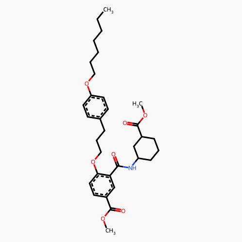 CCCCCCCOc1ccc(CCCOc2ccc(C(=O)OC)cc2C(=O)NC2CCCC(C(=O)OC)C2)cc1